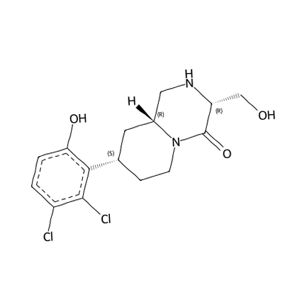 O=C1[C@@H](CO)NC[C@H]2C[C@@H](c3c(O)ccc(Cl)c3Cl)CCN12